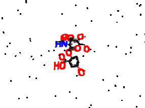 COCC1O[C@@H](Oc2ccc(OC)cc2C(=O)O)C(NC(C)=O)[C@@H](O)[C@@H]1OC